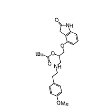 COc1ccc(CCNCC(COc2cccc3c2CC(=O)N3)OC(=O)C(C)(C)C)cc1